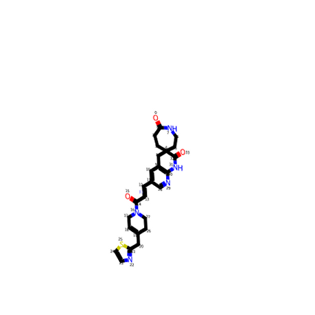 O=C1CCC2(CCN1)Cc1cc(/C=C/C(=O)N3CC=C(Cc4nccs4)CC3)cnc1NC2=O